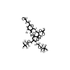 C=C1C(C[C@@H]2O[C@H]3CC(CO[Si](C)(C)C(C)(C)C)[C@@H](CCO[Si](C)(C)C(C)(C)C)O[C@H]3[C@H](C)[C@H]2OC(C)=O)OC(CCC=O)C[C@H]1C